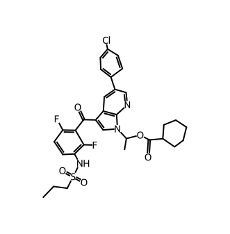 CCCS(=O)(=O)Nc1ccc(F)c(C(=O)c2cn(C(C)OC(=O)C3CCCCC3)c3ncc(-c4ccc(Cl)cc4)cc23)c1F